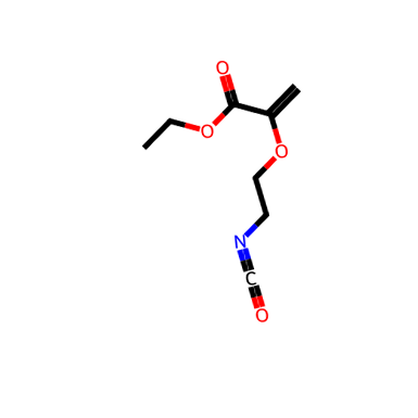 C=C(OCCN=C=O)C(=O)OCC